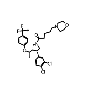 C[C@@H](Oc1ccc(C(F)(F)F)cc1)[C@@H]1CN(C(=O)CCCCN2CCOCC2)C[C@H]1c1ccc(Cl)c(Cl)c1